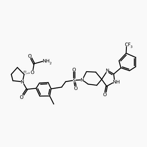 Cc1cc(C(=O)N2CCC[C@@H]2OC(N)=O)ccc1CCS(=O)(=O)N1CCC2(CC1)N=C(c1cccc(C(F)(F)F)c1)NC2=O